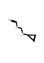 O=[C]OCSC1CC1